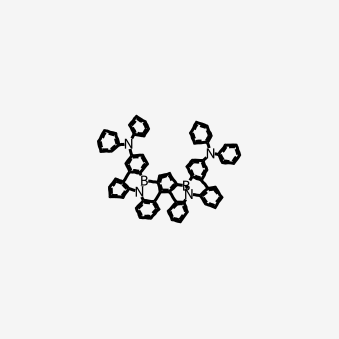 c1ccc(N(c2ccccc2)c2ccc3c(c2)-c2ccccc2N2B3c3ccc4c(c3-c3ccccc32)-c2ccccc2N2B4c3ccc(N(c4ccccc4)c4ccccc4)cc3-c3ccccc32)cc1